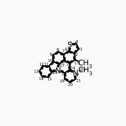 Cc1c2ccsc2c2ccc3c4ccccc4n4c5ccc[n+](C)c5c1c2c34